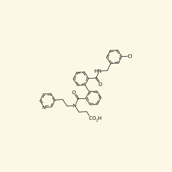 O=C(O)CCN(CCc1cccnc1)C(=O)c1ccccc1-c1ccccc1C(=O)NCc1cccc(Cl)c1